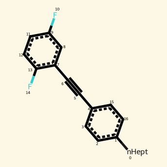 CCCCCCCc1ccc(C#Cc2cc(F)ccc2F)cc1